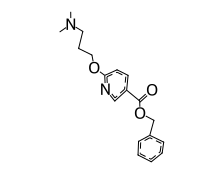 CN(C)CCCOc1ccc(C(=O)OCc2ccccc2)cn1